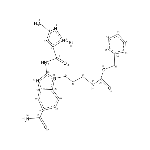 CCn1nc(C)cc1C(=O)Nc1nc2cc(C(N)=O)ccc2n1CCCNC(=O)OCc1ccccc1